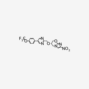 O=[N+]([O-])c1cn2c(n1)OC[C@@H](OCc1ncc(-c3ccc(OC(F)(F)F)cc3)cn1)C2